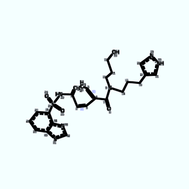 C=C(/C=C\C(=C/C)C(=O)N(CCCO)CCCc1cn[nH]c1)NS(=O)(=O)c1cccc2scnc12